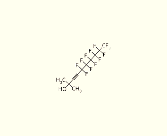 CC(C)(O)C#CC(F)(F)C(F)(F)C(F)(F)C(F)(F)C(F)(F)C(F)(F)F